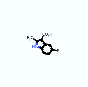 CCc1ccc2[nH]c(C(F)(F)F)c(C(=O)O)c2c1